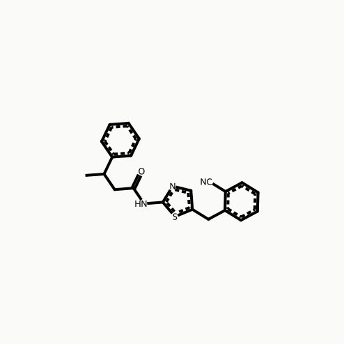 CC(CC(=O)Nc1ncc(Cc2ccccc2C#N)s1)c1ccccc1